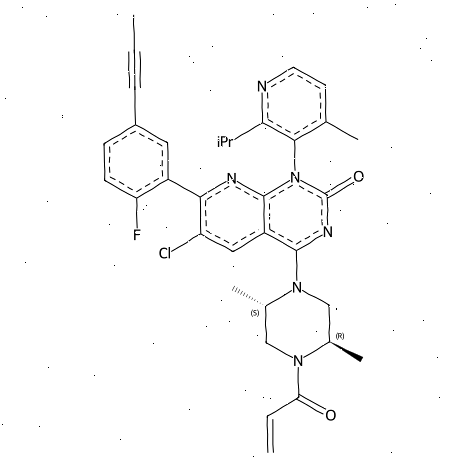 C=CC(=O)N1C[C@H](C)N(c2nc(=O)n(-c3c(C)ccnc3C(C)C)c3nc(-c4cc(C#CC)ccc4F)c(Cl)cc23)C[C@H]1C